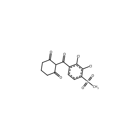 CS(=O)(=O)c1ccc(C(=O)C2C(=O)CCCC2=O)c(Cl)c1Cl